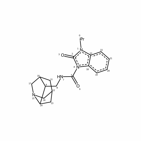 CC(C)n1c(=O)n(C(=O)NCC2C3CC4CC2N(C4)C3)c2ccccc21